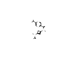 CN(C(=O)O)C12CC(N(C)C(=O)c3cnc(C(F)F)cn3)(C1)C2